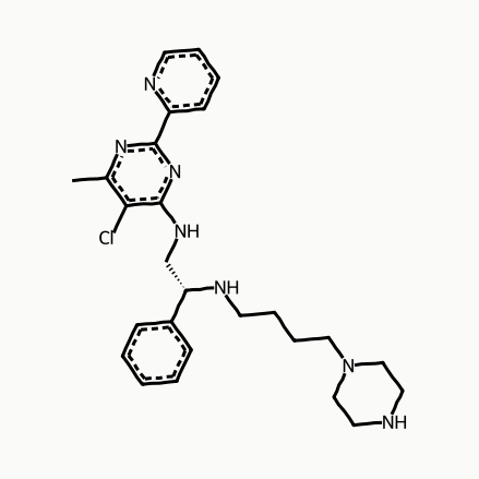 Cc1nc(-c2ccccn2)nc(NC[C@H](NCCCCN2CCNCC2)c2ccccc2)c1Cl